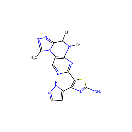 CCC1c2nnc(C)n2-c2cnc(-c3sc(N)nc3-c3ccn[nH]3)nc2N1C(C)C